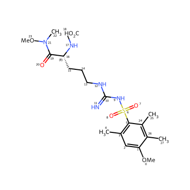 COc1cc(C)c(S(=O)(=O)NC(=N)NCCC[C@@H](NC(=O)O)C(=O)N(C)OC)c(C)c1C